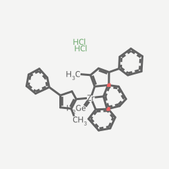 CC1=[C]([Zr](=[GeH2])([C]2=C(C)C=C(c3ccccc3)C2)([c]2ccccc2)[c]2ccccc2)CC(c2ccccc2)=C1.Cl.Cl